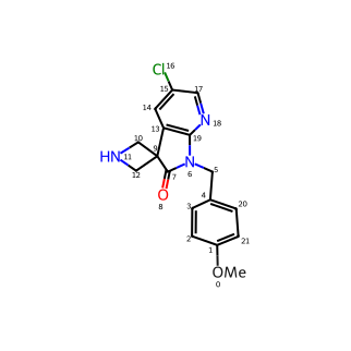 COc1ccc(CN2C(=O)C3(CNC3)c3cc(Cl)cnc32)cc1